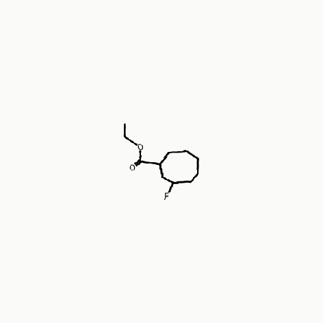 CCOC(=O)C1CCCCCC(F)C1